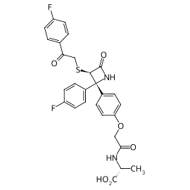 C[C@@H](NC(=O)COc1ccc([C@]2(c3ccc(F)cc3)NC(=O)[C@@H]2SCC(=O)c2ccc(F)cc2)cc1)C(=O)O